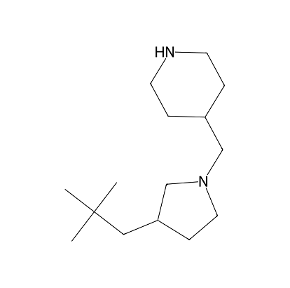 CC(C)(C)CC1CCN(CC2CCNCC2)C1